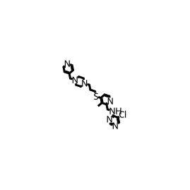 Cc1c(SCCCN2CCN(Cc3ccncc3)CC2)ccnc1CNc1ncncc1Cl